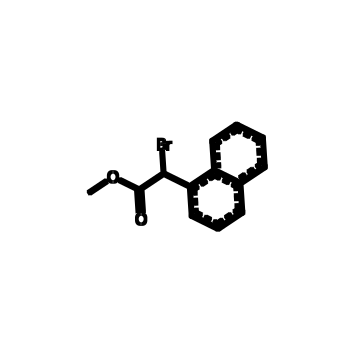 COC(=O)C(Br)c1cccc2ccccc12